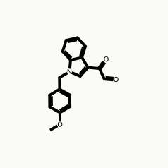 COc1ccc(Cn2cc(C(=O)C=O)c3ccccc32)cc1